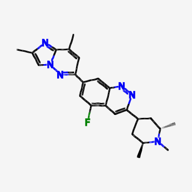 Cc1cn2nc(-c3cc(F)c4cc(C5C[C@H](C)N(C)[C@@H](C)C5)nnc4c3)cc(C)c2n1